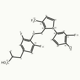 CC(Cc1cc(F)c(OCc2c(C(F)(F)F)ccn2-c2ccc(Cl)c(F)c2)c(F)c1)C(=O)O